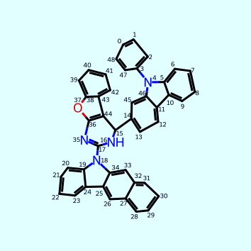 c1ccc(-n2c3ccccc3c3ccc(C4NC(n5c6ccccc6c6cc7ccccc7cc65)=Nc5oc6ccccc6c54)cc32)cc1